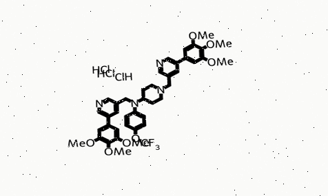 COc1cc(-c2cncc(CN3CCC(N(Cc4cncc(-c5cc(OC)c(OC)c(OC)c5)c4)c4ccc(OC(F)(F)F)cc4)CC3)c2)cc(OC)c1OC.Cl.Cl.Cl